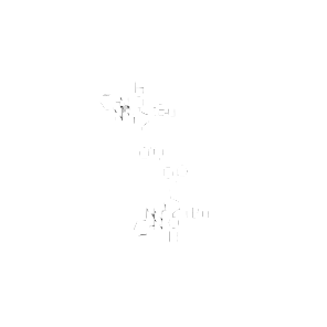 CC(C)(C)c1cc(CCC(=O)OCCOC(=O)CCc2cc(-n3nc4ccccc4n3)c(O)c(C(C)(C)C)c2)cc(-n2nc3ccccc3n2)c1O